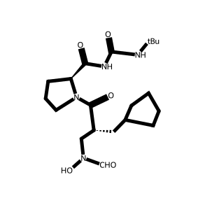 CC(C)(C)NC(=O)NC(=O)[C@@H]1CCCN1C(=O)[C@H](CC1CCCC1)CN(O)C=O